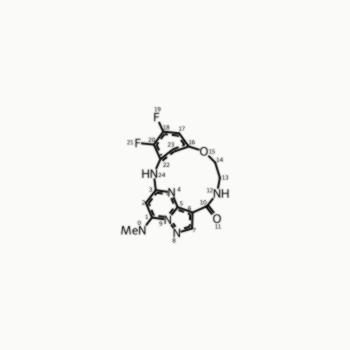 CNc1cc2nc3c(cnn13)C(=O)NCCOc1cc(F)c(F)c(c1)N2